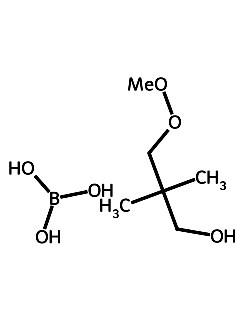 COOCC(C)(C)CO.OB(O)O